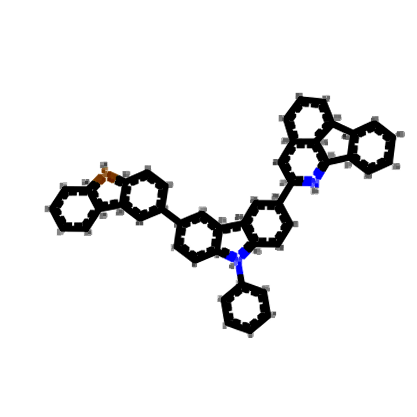 c1ccc(-n2c3ccc(-c4ccc5sc6ccccc6c5c4)cc3c3cc(-c4cc5cccc6c5c(n4)-c4ccccc4-6)ccc32)cc1